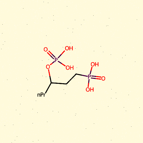 CCCC(CCP(=O)(O)O)OP(=O)(O)O